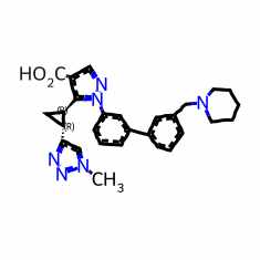 Cn1cc([C@@H]2C[C@H]2c2c(C(=O)O)cnn2-c2cccc(-c3cccc(CN4CCCCC4)c3)c2)nn1